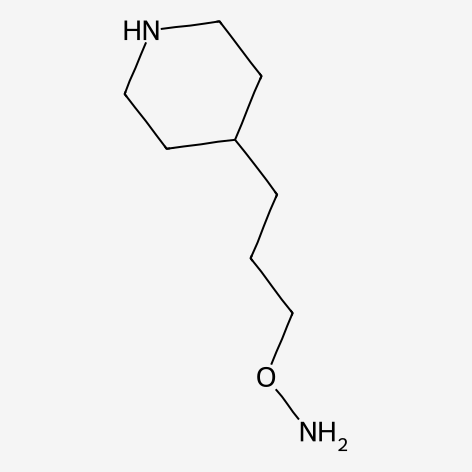 NOCCCC1CCNCC1